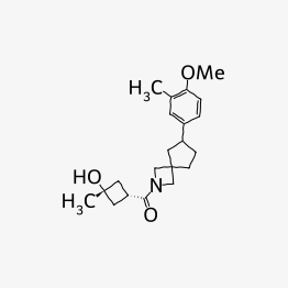 COc1ccc(C2CCC3(C2)CN(C(=O)[C@H]2C[C@@](C)(O)C2)C3)cc1C